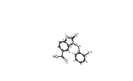 O=C(O)c1ccc2oc(=O)n(Cc3ccccc3F)c2c1